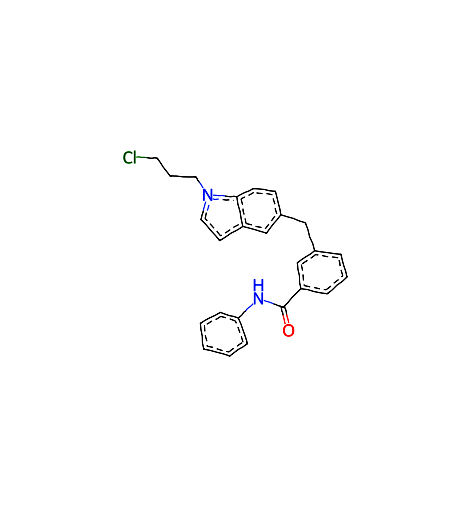 O=C(Nc1ccccc1)c1cccc(Cc2ccc3c(ccn3CCCCl)c2)c1